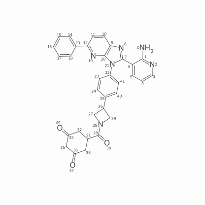 Nc1ncccc1-c1nc2ccc(-c3ccccc3)nc2n1-c1ccc(C2CN(C(=O)C3CC(=O)CC(=O)C3)C2)cc1